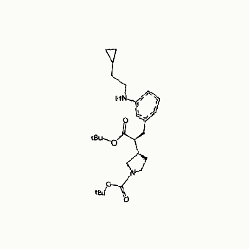 CC(C)(C)OC(=O)[C@@H](Cc1cccc(NCCC2CC2)c1)[C@H]1CCN(C(=O)OC(C)(C)C)C1